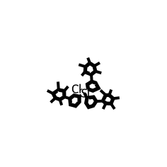 Cc1c(C)c(C)c(-c2cccc([Si](Cl)(c3cccc(-c4c(C)c(C)c(C)c(C)c4C)c3)c3cccc(-c4c(C)c(C)c(C)c(C)c4C)c3)c2)c(C)c1C